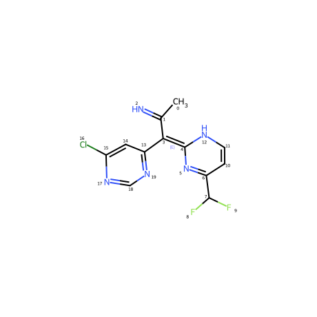 CC(=N)/C(=C1/N=C(C(F)F)C=CN1)c1cc(Cl)ncn1